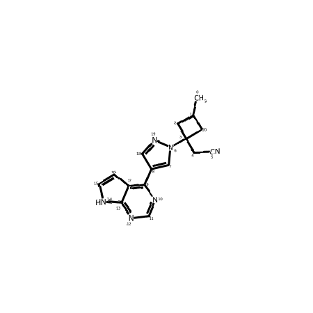 CC1CC(CC#N)(n2cc(-c3ncnc4[nH]ccc34)cn2)C1